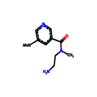 CNc1cncc(C(=O)N(C)CCN)c1